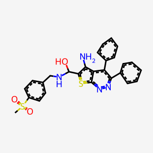 CS(=O)(=O)c1ccc(CNC(O)c2sc3nnc(-c4ccccc4)c(-c4ccccc4)c3c2N)cc1